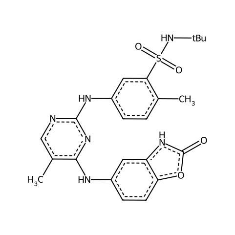 Cc1ccc(Nc2ncc(C)c(Nc3ccc4oc(=O)[nH]c4c3)n2)cc1S(=O)(=O)NC(C)(C)C